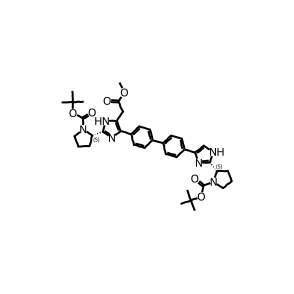 COC(=O)Cc1[nH]c([C@@H]2CCCN2C(=O)OC(C)(C)C)nc1-c1ccc(-c2ccc(-c3c[nH]c([C@@H]4CCCN4C(=O)OC(C)(C)C)n3)cc2)cc1